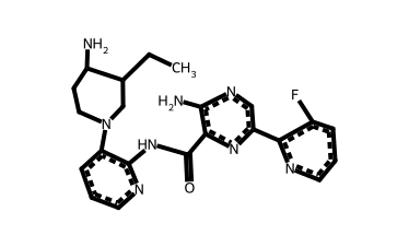 CCC1CN(c2cccnc2NC(=O)c2nc(-c3ncccc3F)cnc2N)CCC1N